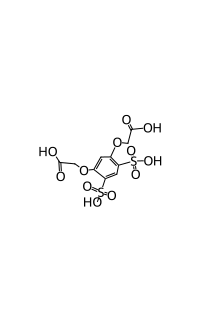 O=C(O)COc1cc(OCC(=O)O)c(S(=O)(=O)O)cc1S(=O)(=O)O